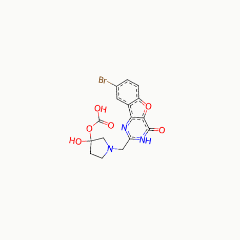 O=C(O)OC1(O)CCN(Cc2nc3c(oc4ccc(Br)cc43)c(=O)[nH]2)C1